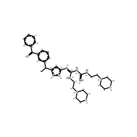 CC(c1cccc(C(=O)c2ccccc2)c1)c1cc(/N=C(\NCCN2CCOCC2)NC(=N)NCCN2CCOCC2)on1